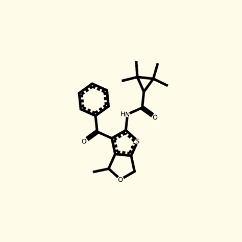 CC1OCc2sc(NC(=O)C3C(C)(C)C3(C)C)c(C(=O)c3ccccc3)c21